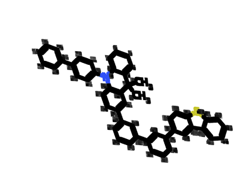 CC1(C)c2ccccc2N(c2ccc(-c3ccccc3)cc2)c2ccc(-c3cccc(-c4cccc(-c5ccc6sc7ccccc7c6c5)c4)c3)cc21